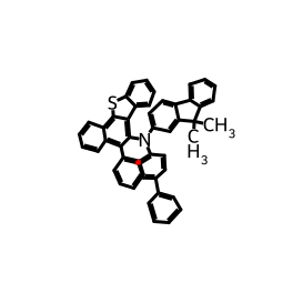 CC1(C)c2ccccc2-c2ccc(N(c3ccc(-c4ccccc4)cc3)c3c(-c4ccccc4)c4ccccc4c4sc5ccccc5c34)cc21